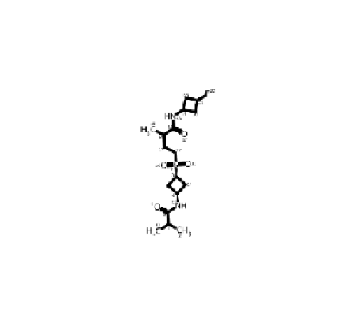 CC(C)C(=O)N[C@H]1C[C@@H](S(=O)(=O)CCC(C)C(=O)NC2CC(F)C2)C1